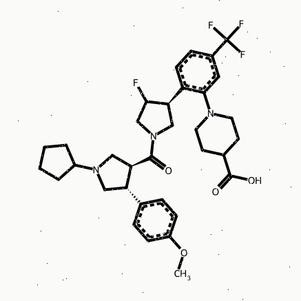 COc1ccc([C@@H]2CN(C3CCCC3)C[C@H]2C(=O)N2CC(F)[C@@H](c3ccc(C(F)(F)F)cc3N3CCC(C(=O)O)CC3)C2)cc1